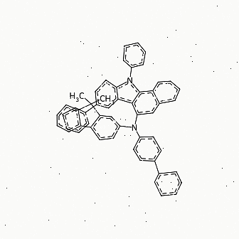 CC1(C)c2ccccc2-c2ccc(N(c3ccc(-c4ccccc4)cc3)c3cc4ccccc4c4c3c3cc(-c5ccccc5)ccc3n4-c3ccccc3)cc21